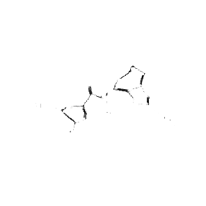 Cc1cc2cccc(NC(=O)c3cc(Cl)c(C)s3)c2o1